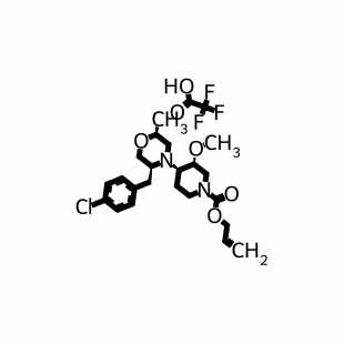 C=CCOC(=O)N1CC[C@@H](N2C[C@H](C)OC[C@@H]2Cc2ccc(Cl)cc2)[C@H](OC)C1.O=C(O)C(F)(F)F